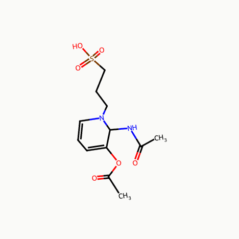 CC(=O)NC1C(OC(C)=O)=CC=CN1CCCS(=O)(=O)O